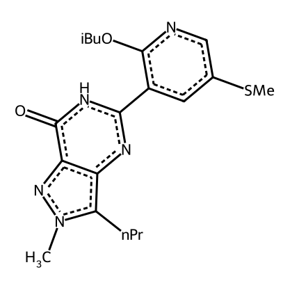 CCCc1c2nc(-c3cc(SC)cnc3OCC(C)C)[nH]c(=O)c2nn1C